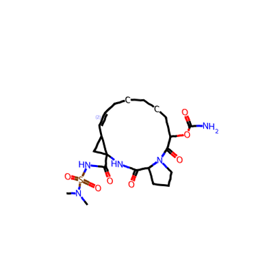 CN(C)S(=O)(=O)NC(=O)C12CC1/C=C\CCCCCC(OC(N)=O)C(=O)N1CCCC1C(=O)N2